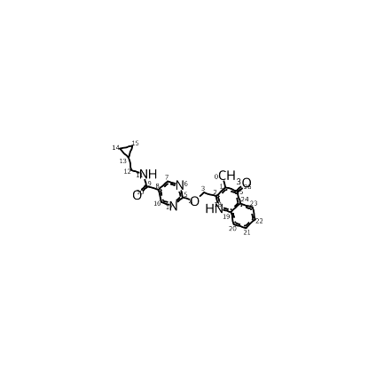 Cc1c(COc2ncc(C(=O)NCC3CC3)cn2)[nH]c2ccccc2c1=O